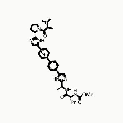 COC(=O)N[C@H](C(=O)N[C@@H](C)c1ncc(-c2ccc(C34CCC(c5cnc([C@@H]6CCCN6C(=O)C(C)N(C)C)[nH]5)(CC3)CC4)cc2)[nH]1)C(C)C